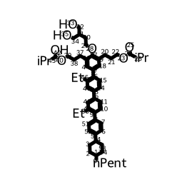 CCCCCC1CCC(c2ccc(-c3ccc(-c4ccc(-c5cc(CCCOC(=O)C(C)C)c(OCCC(CO)CO)c(CCCOC(O)C(C)C)c5)c(CC)c4)cc3CC)cc2)CC1